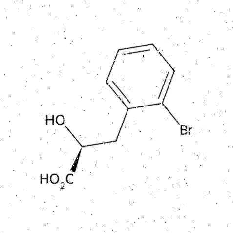 O=C(O)[C@@H](O)Cc1ccccc1Br